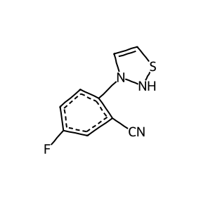 N#Cc1cc(F)ccc1N1C=CSN1